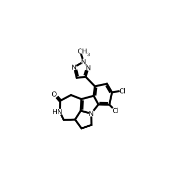 Cn1ncc(-c2cc(Cl)c(Cl)c3c2c2c4n3CCC4CNC(=O)C2)n1